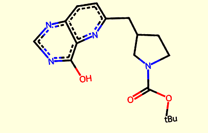 CC(C)(C)OC(=O)N1CCC(Cc2ccc3ncnc(O)c3n2)C1